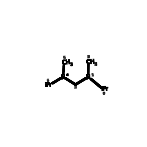 CC(C)N(C)CN(C)C(C)C